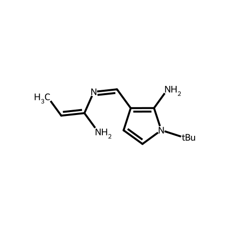 C/C=C(N)\N=C/c1ccn(C(C)(C)C)c1N